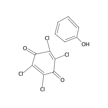 O=C1C(Cl)=C(Cl)C(=O)C(Cl)=C1Cl.Oc1ccccc1